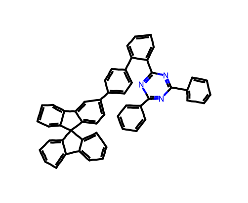 c1ccc(-c2nc(-c3ccccc3)nc(-c3ccccc3-c3ccc(-c4ccc5c(c4)-c4ccccc4C54c5ccccc5-c5ccccc54)cc3)n2)cc1